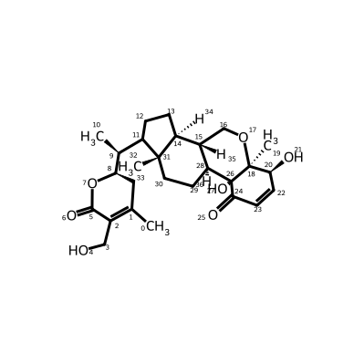 CC1=C(CO)C(=O)O[C@@H]([C@@H](C)C2CC[C@H]3[C@@H]4CO[C@@]5(C)[C@@H](O)C=CC(=O)[C@]5(O)[C@H]4CC[C@]23C)C1